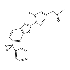 CC(=O)Cc1ccc(-c2nc3ccc(C4(c5ccccc5)C=C4)nc3s2)c(F)c1